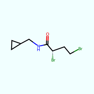 O=C(NCC1CC1)[C@@H](Br)CCBr